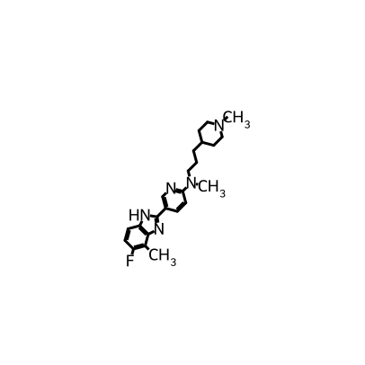 Cc1c(F)ccc2[nH]c(-c3ccc(N(C)CCCC4CCN(C)CC4)nc3)nc12